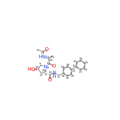 CC(=O)N[C@@H](C)C(=O)N1CC(O)C[C@H]1C(=O)NCc1ccc(-c2ccccc2)cc1